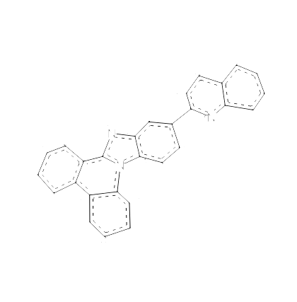 c1ccc2nc(-c3ccc4c(c3)nc3c5ccccc5c5ccccc5n43)ccc2c1